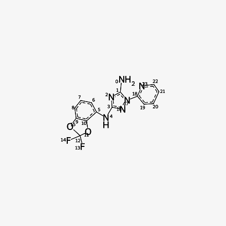 Nc1nc(Nc2cccc3c2OC(F)(F)O3)nn1-c1ccccn1